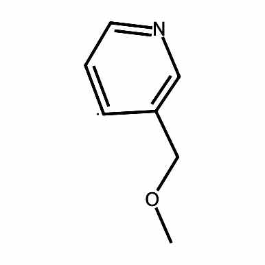 COCc1[c]ccnc1